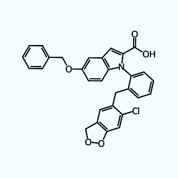 O=C(O)c1cc2cc(OCc3ccccc3)ccc2n1-c1ccccc1Cc1cc2c(cc1Cl)OOC2